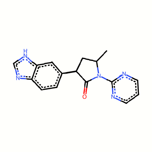 CC1CC(c2ccc3nc[nH]c3c2)C(=O)N1c1ncccn1